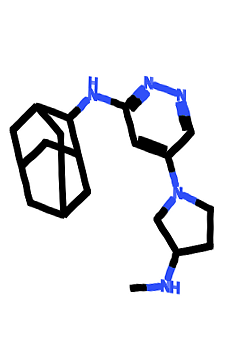 CNC1CCN(c2cnnc(NC3C4CC5CC(C4)CC3C5)c2)C1